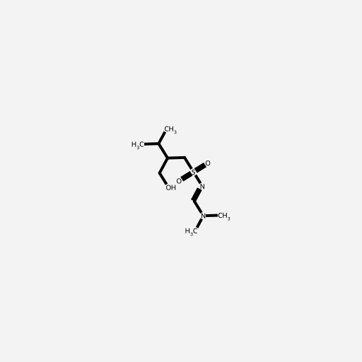 CC(C)C(CO)CS(=O)(=O)N=CN(C)C